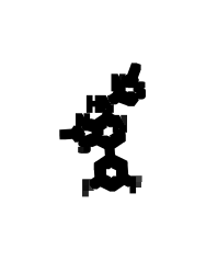 Cc1nc(Nc2ncc(-c3cc(F)cc(F)c3)c3sc(C)nc23)cs1